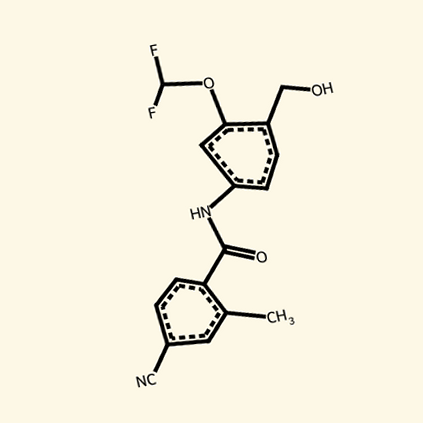 Cc1cc(C#N)ccc1C(=O)Nc1ccc(CO)c(OC(F)F)c1